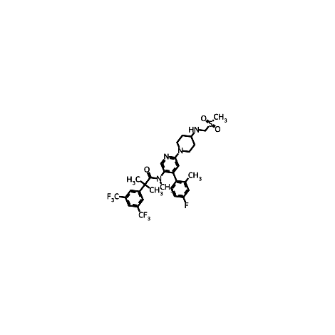 Cc1cc(F)ccc1-c1cc(N2CCC(NCS(C)(=O)=O)CC2)ncc1N(C)C(=O)C(C)(C)c1cc(C(F)(F)F)cc(C(F)(F)F)c1